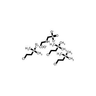 C[N+](C)(C)CCCl.C[N+](C)(C)CCCl.C[N+](C)(C)CCCl.O=C([O-])CNCP(=O)([O-])[O-]